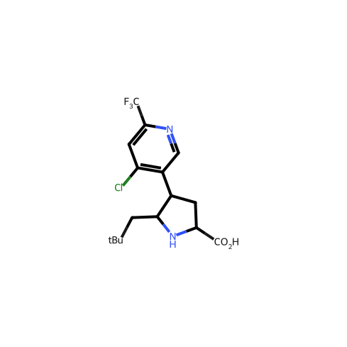 CC(C)(C)CC1NC(C(=O)O)CC1c1cnc(C(F)(F)F)cc1Cl